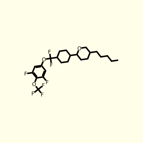 CCCCCC1CCC(C2CCC(C(F)(F)Oc3cc(F)c(OC(F)(F)F)c(F)c3)CC2)OC1